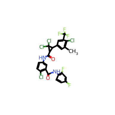 Cc1cc(C2C(C(=O)Nc3ccc(Cl)c(C(=O)Nc4ccc(F)cc4F)c3)C2(Cl)Cl)cc(C(F)(F)F)c1Cl